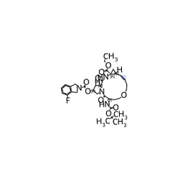 CCOC(=O)[C@@]12C[C@H]1/C=C\CCOCC[C@H](NC(=O)OC(C)(C)C)C(=O)N1C[C@H](OC(=O)N3Cc4cccc(F)c4C3)C[C@H]1C(=O)N2